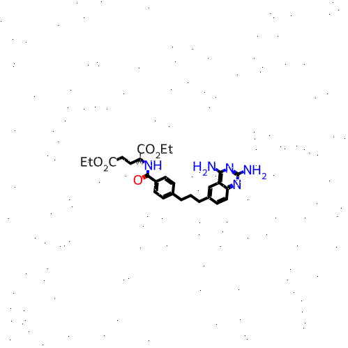 CCOC(=O)CC[C@@H](NC(=O)c1ccc(CCCc2ccc3nc(N)nc(N)c3c2)cc1)C(=O)OCC